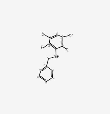 Clc1nc(Cl)c(Cl)c(NCc2ccccc2)c1Cl